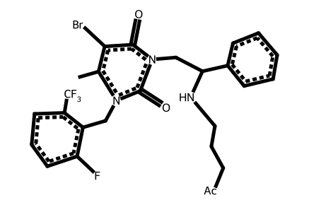 CC(=O)CCCNC(Cn1c(=O)c(Br)c(C)n(Cc2c(F)cccc2C(F)(F)F)c1=O)c1ccccc1